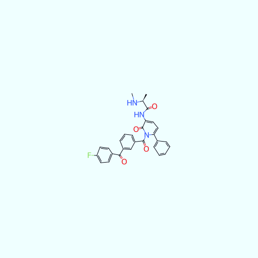 CN[C@@H](C)C(=O)Nc1ccc(-c2ccccc2)n(C(=O)c2cccc(C(=O)c3ccc(F)cc3)c2)c1=O